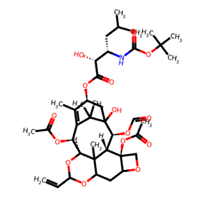 C=CC1OC2CC3OC[C@@]3(OC(C)=O)[C@H]3[C@H](OC=O)C4(O)C[C@H](OC(=O)[C@H](O)[C@H](CC(C)C)NC(=O)OC(C)(C)C)C(C)=C([C@H](OC(C)=O)[C@H](O1)C23C)C4(C)C